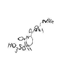 CNCCONC(=O)C1CC[C@@H]2CN1C(=O)N2OS(=O)(=O)O